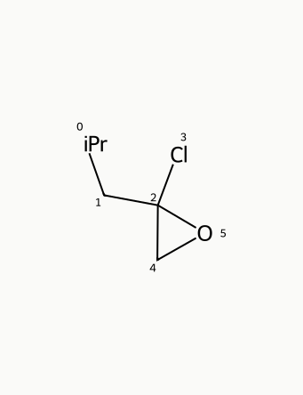 CC(C)CC1(Cl)CO1